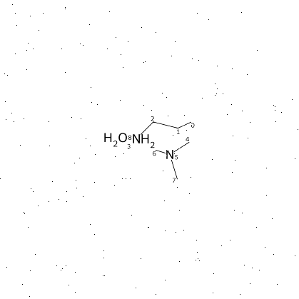 CCCN.CN(C)C.O